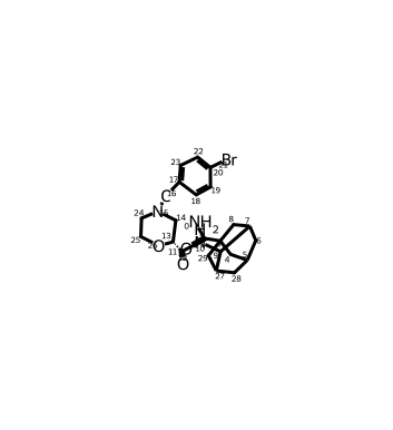 NC(=O)C12CC3CC(C1)C(NC(=O)[C@H]1CN(Cc4ccc(Br)cc4)CCO1)C(C3)C2